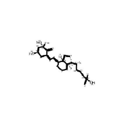 C=C1/C(=C\C=C2/CCC[C@]3(C)[C@@H]([C@H](C)CCCC(C)(C)O)CC[C@@H]23)C[C@@H](O)C[C@@]1(O)F